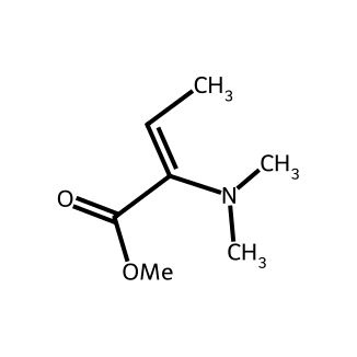 CC=C(C(=O)OC)N(C)C